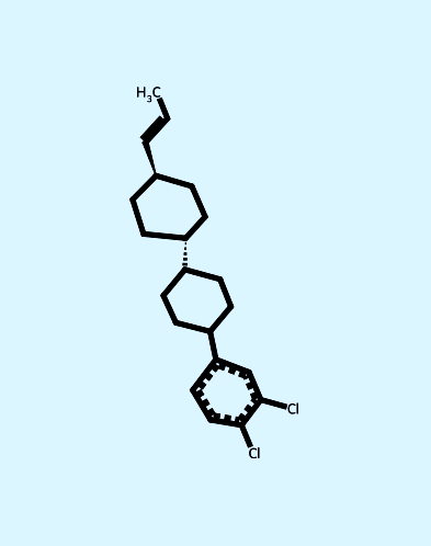 C/C=C/[C@H]1CC[C@H](C2CCC(c3ccc(Cl)c(Cl)c3)CC2)CC1